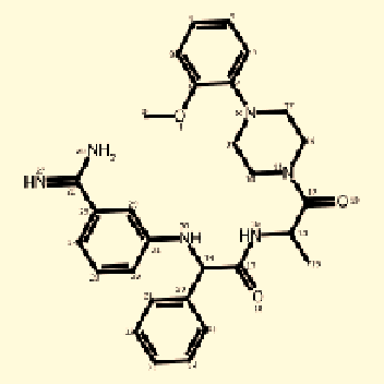 COc1ccccc1N1CCN(C(=O)C(C)NC(=O)C(Nc2cccc(C(=N)N)c2)c2ccccc2)CC1